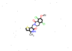 Cc1[nH]c(=O)c(CN2CCc3c(Cl)cc(OC(C)C)c(Cl)c3C2=O)c2sccc12